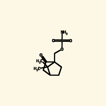 CC1(C)C2CCC1(COS(N)(=O)=O)C(=O)C2